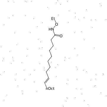 CCCCCCCCC=CCCCCCCCC(=O)NOCC